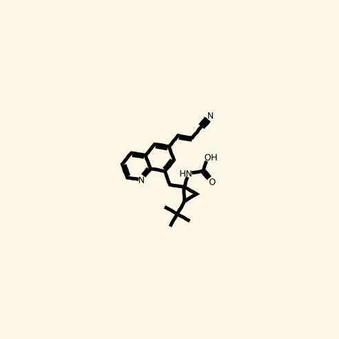 CC(C)(C)C1CC1(Cc1cc(C=CC#N)cc2cccnc12)NC(=O)O